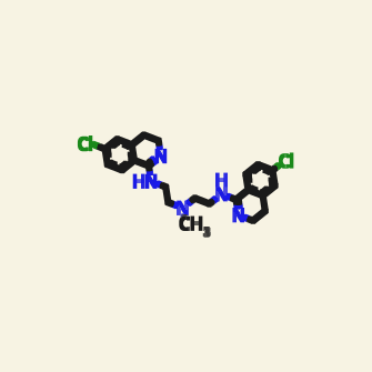 CN(CCNC1=NCCc2cc(Cl)ccc21)CCNC1=NCCc2cc(Cl)ccc21